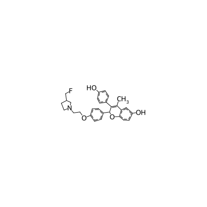 CC1=C(c2ccc(O)cc2)C(c2ccc(OCCN3CCC(CF)C3)cc2)Oc2ccc(O)cc21